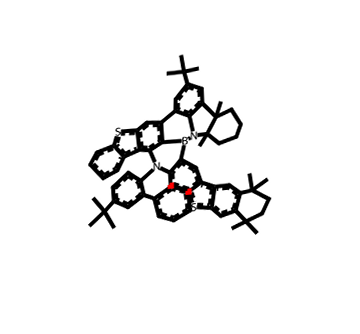 CC(C)(C)c1ccc(N2c3cc4sc5cc6c(cc5c4cc3B3c4c(cc5sc7ccccc7c5c42)-c2cc(C(C)(C)C)cc4c2N3C2(C)CCCCC42C)C(C)(C)CCC6(C)C)c(-c2ccccc2)c1